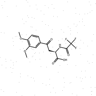 COc1ccc(C(=O)C[C@@H](NC(=O)C(F)(F)F)C(=O)O)cc1OC